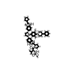 COC(=O)N[C@H](C(=O)N1CCCC1c1nc2cc([C@H]3CC[C@H](c4ccc5[nH]c(C6CCCC6)nc5c4)N3c3cc(F)c(N4CCC(c5ccccc5)CC4)c(F)c3)ccc2[nH]1)C(C)C